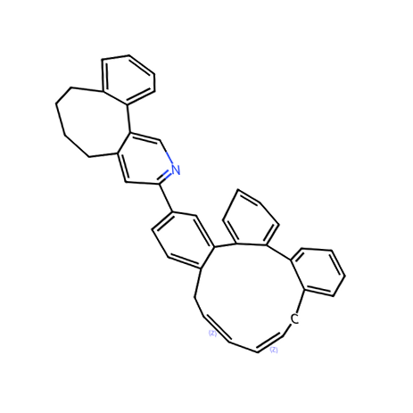 C1=C\Cc2ccccc2-c2ccccc2-c2cc(-c3cc4c(cn3)-c3ccccc3CCCC4)ccc2C\C=C/1